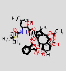 CC(=O)O[C@H]1C(=O)[C@@]2(C)[C@H]([C@H](OC(=O)c3ccccc3)[C@]3(O)C[C@H](OC(=O)[C@H](O)[C@H](C=C(C)C)NC(=O)SC(C)(C)C)C(C)=C1C3(C)C)[C@]1(OC(C)=O)OO[C@@H]1C[C@@H]2O